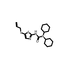 C=CCSc1cnc(NC(=O)N(C2CCCCC2)C2CCCCC2)s1